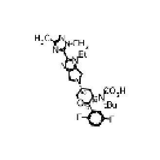 CCn1c(-c2nc(C)nn2C)nc2c1CN([C@H]1CO[C@H](c3cc(F)ccc3F)[C@@H](N(C(=O)O)C(C)(C)C)C1)C2